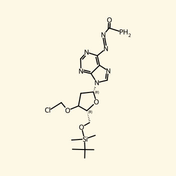 CC(C)(C)[Si](C)(C)OC[C@H]1O[C@@H](n2cnc3c(N=NC(=O)P)ncnc32)CC1OCCl